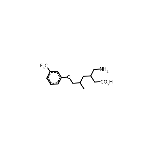 CC(COc1cccc(C(F)(F)F)c1)CC(CN)CC(=O)O